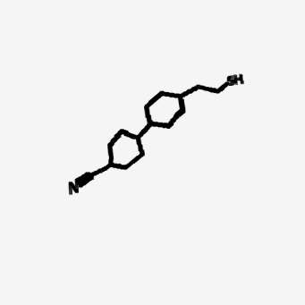 N#CC1CCC(C2CCC(CCS)CC2)CC1